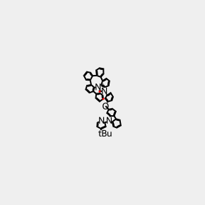 CC(C)(C)c1ccnc(-n2c3ccccc3c3ccc(Oc4cccc(-n5c[n+]6c7c(cccc75)-c5ccccc5-c5ccccc5-c5cccc(-c7ccccc7)c5-6)c4)cc32)c1